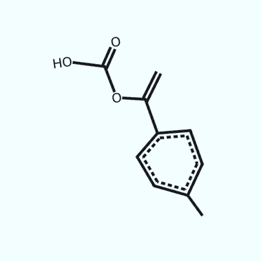 C=C(OC(=O)O)c1ccc(C)cc1